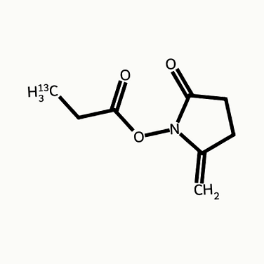 C=C1CCC(=O)N1OC(=O)C[13CH3]